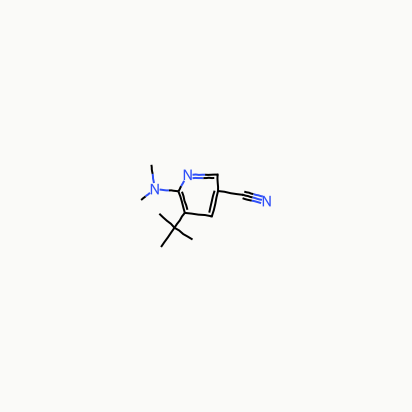 CN(C)c1ncc(C#N)cc1C(C)(C)C